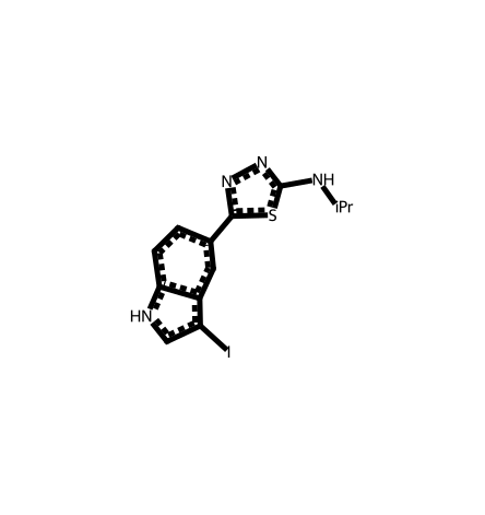 CC(C)Nc1nnc(-c2ccc3[nH]cc(I)c3c2)s1